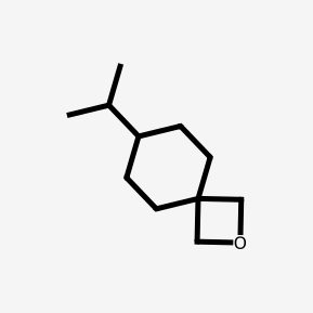 CC(C)C1CCC2(CC1)COC2